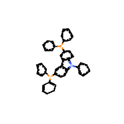 C1=CC(P(c2ccccc2)c2ccc3c(c2)c2cc(P(c4ccccc4)c4ccccc4)ccc2n3-c2ccccc2)=CCC1